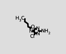 CCCCCc1nc2c(Cl)nc(N)nc2o1